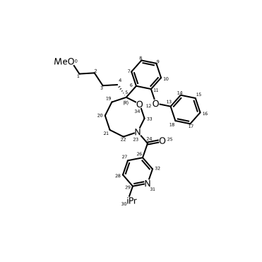 COCCCC[C@@]1(c2ccccc2Oc2ccccc2)CCCCN(C(=O)c2ccc(C(C)C)nc2)CO1